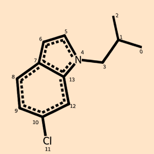 CC(C)Cn1ccc2ccc(Cl)cc21